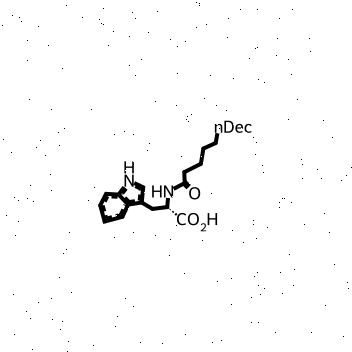 CCCCCCCCCCCCCCC(=O)N[C@@H](Cc1c[nH]c2ccccc12)C(=O)O